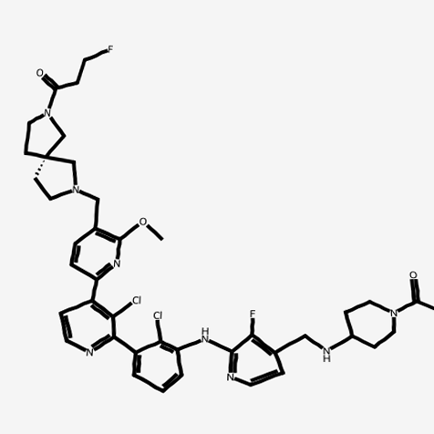 COc1nc(-c2ccnc(-c3cccc(Nc4nccc(CNC5CCN(C(C)=O)CC5)c4F)c3Cl)c2Cl)ccc1CN1CC[C@@]2(CCN(C(=O)CCF)C2)C1